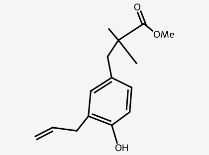 C=CCc1cc(CC(C)(C)C(=O)OC)ccc1O